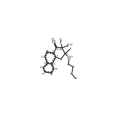 CCCCOC1(C)Cc2c(ccc3ccccc23)C(=O)C1(F)F